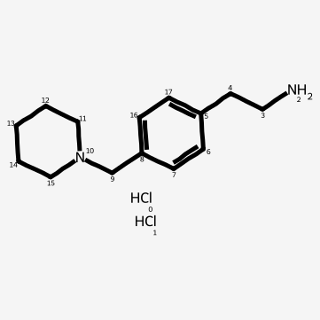 Cl.Cl.NCCc1ccc(CN2CCCCC2)cc1